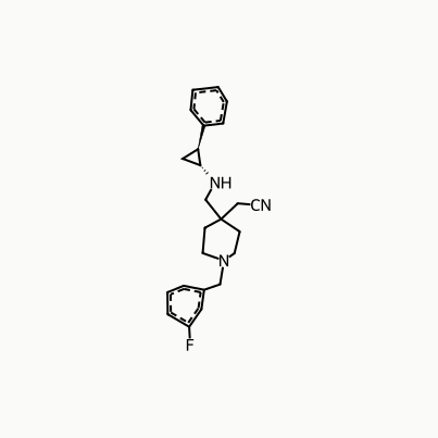 N#CCC1(CN[C@@H]2C[C@H]2c2ccccc2)CCN(Cc2cccc(F)c2)CC1